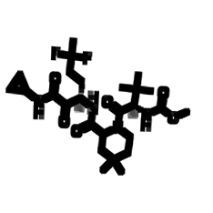 COC(=O)N[C@H](C(=O)N1CCC(C)(C)CC1C(=O)N[C@@H](CCC(C)(F)F)C(=O)C(=O)NC1CC1)C(C)(C)C